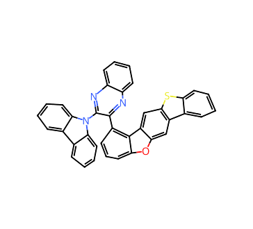 c1ccc2nc(-n3c4ccccc4c4ccccc43)c(-c3cccc4oc5cc6c(cc5c34)sc3ccccc36)nc2c1